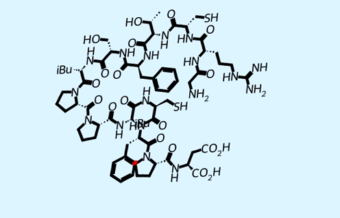 CC[C@H](C)[C@H](NC(=O)[C@@H]1CCCN1C(=O)[C@@H]1CCCN1C(=O)[C@@H](NC(=O)[C@H](CO)NC(=O)[C@H](Cc1ccccc1)NC(=O)[C@@H](NC(=O)[C@H](CS)NC(=O)[C@H](CCCNC(=N)N)NC(=O)CN)[C@@H](C)O)[C@@H](C)CC)C(=O)N[C@@H](CS)C(=O)N[C@@H](Cc1ccccc1)C(=O)N1CCC[C@H]1C(=O)N[C@@H](CC(=O)O)C(=O)O